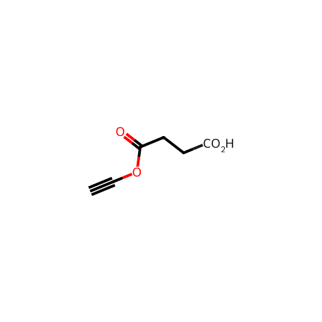 C#COC(=O)CCC(=O)O